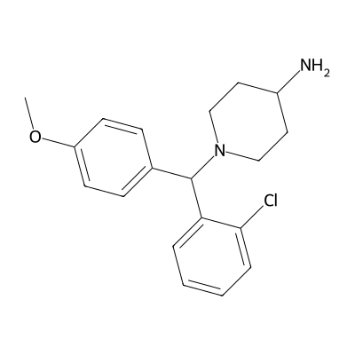 COc1ccc(C(c2ccccc2Cl)N2CCC(N)CC2)cc1